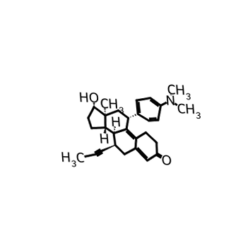 CC#C[C@@H]1CC2=CC(=O)CCC2=C2[C@@H]1[C@@H]1CC[C@H](O)[C@@]1(C)C[C@@H]2c1ccc(N(C)C)cc1